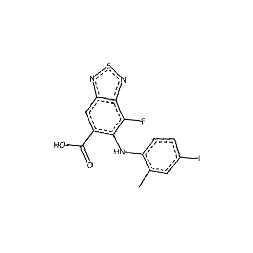 Cc1cc(I)ccc1Nc1c(C(=O)O)cc2nsnc2c1F